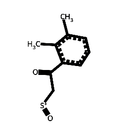 Cc1cccc(C(=O)C[S+]=O)c1C